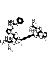 CN[C@@H](C)C(=O)N[C@H](C(=O)N1CCC[C@H]1Cn1nnnc1Sc1ccccc1)C(C)OCC#CC#CCOC(C)[C@H](NC(=O)C(C)C)C(=O)N1CCCC1